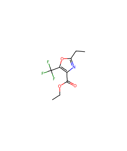 CCOC(=O)c1nc(CC)oc1C(F)(F)F